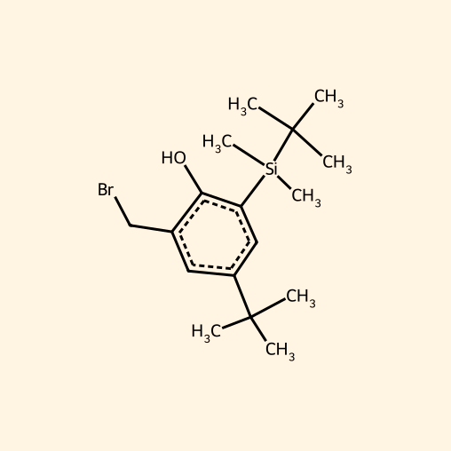 CC(C)(C)c1cc(CBr)c(O)c([Si](C)(C)C(C)(C)C)c1